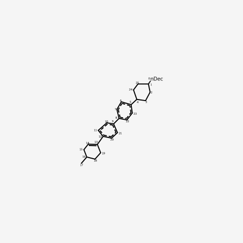 CCCCCCCCCCC1CCC(c2ccc(-c3ccc(C4=CCC(C)CC4)cc3)cc2)CC1